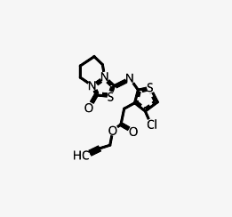 C#CCOC(=O)Cc1c(Cl)csc1N=c1sc(=O)n2n1CCCC2